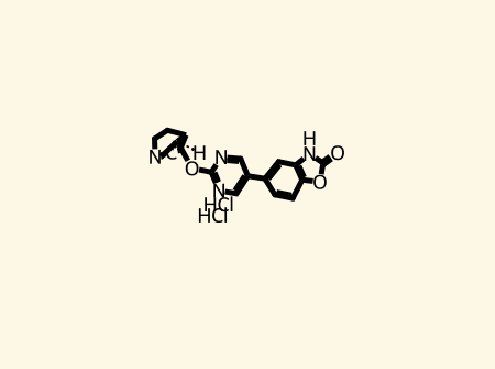 Cl.Cl.O=c1[nH]c2cc(-c3cnc(O[C@H]4CN5CCC4CC5)nc3)ccc2o1